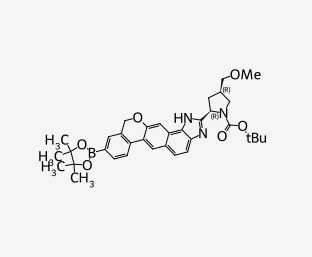 COC[C@@H]1C[C@H](c2nc3ccc4cc5c(cc4c3[nH]2)OCc2cc(B3OC(C)(C)C(C)(C)O3)ccc2-5)N(C(=O)OC(C)(C)C)C1